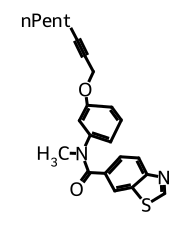 CCCCCC#CCOc1cccc(N(C)C(=O)c2ccc3ncsc3c2)c1